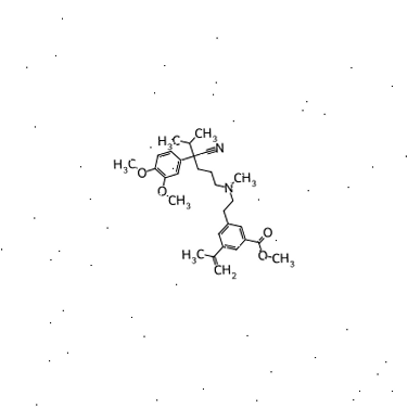 C=C(C)c1cc(CCN(C)CCCC(C#N)(c2ccc(OC)c(OC)c2)C(C)C)cc(C(=O)OC)c1